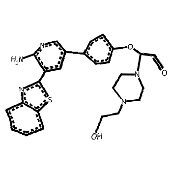 Nc1ncc(-c2ccc(OC(C=O)N3CCN(CCO)CC3)cc2)cc1-c1nc2ccccc2s1